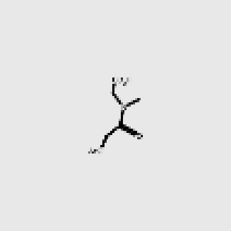 CC(=O)OCC(=O)N(C)CC(=O)O